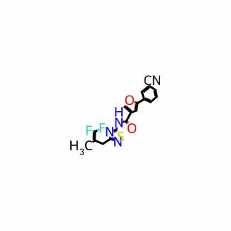 CC(Cc1nsc(NC(=O)c2coc(-c3cccc(C#N)c3)c2)n1)=C(F)F